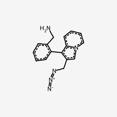 [N-]=[N+]=NCc1cn2ccccc2c1-c1ccccc1CN